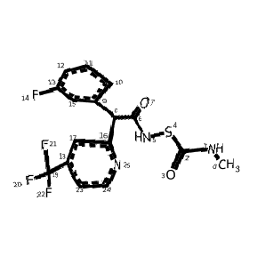 CNC(=O)SNC(=O)C(c1cccc(F)c1)c1cc(C(F)(F)F)ccn1